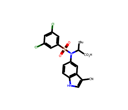 CC(C)(C)C(C(=O)O)N(c1ccc2[nH]cc(C#N)c2c1)S(=O)(=O)c1cc(Cl)cc(Cl)c1